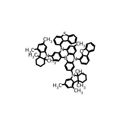 Cc1cc2c3c(c1)N(c1cccc4sc5ccccc5c14)c1cc(N4c5cc(C)cc(C)c5C5(C)CCCCC45C)ccc1B3c1ccc(N3c4cc(C)cc(C)c4C4(C)CCCCC34C)cc1N2c1cccc2c1oc1ccccc12